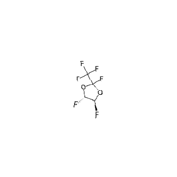 F[C@@H]1OC(F)(C(F)(F)F)O[C@H]1F